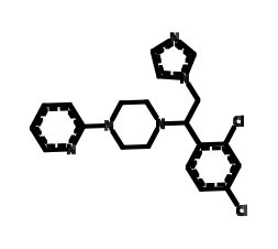 Clc1ccc(C(Cn2ccnc2)N2CCN(c3ccccn3)CC2)c(Cl)c1